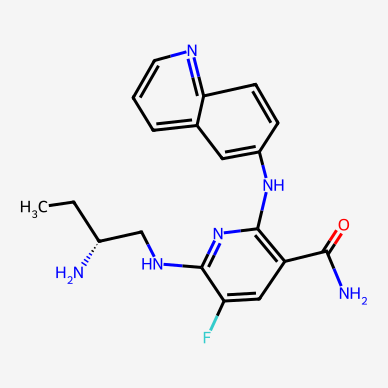 CC[C@@H](N)CNc1nc(Nc2ccc3ncccc3c2)c(C(N)=O)cc1F